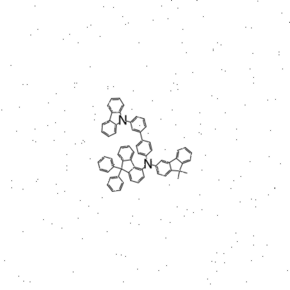 CC1(C)c2ccccc2-c2cc(N(c3ccc(-c4cccc(-n5c6ccccc6c6ccccc65)c4)cc3)c3cccc4c3-c3ccccc3C4(c3ccccc3)c3ccccc3)ccc21